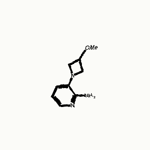 COC1CN(c2cccnc2N)C1